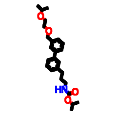 CC(C)OCCOCc1cccc(-c2cccc(CCCNC(=O)OC(C)C)c2)c1